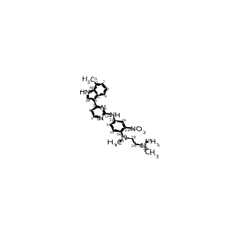 Cc1cccc2c(-c3ccnc(Nc4ccc(N(C)CCN(C)C)c([N+](=O)[O-])c4)n3)c[nH]c12